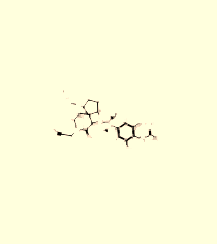 C#CCN1C[C@H](COC)C23CCCC2N(S(=O)(=O)c2cc(Cl)c(NC(C)=O)c(Cl)c2)C3C1=O